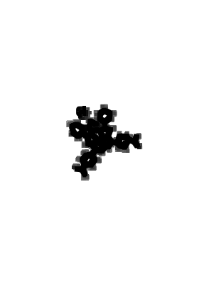 CC(C)c1ccc(-c2cccc3c2C=C(C2CCCCC2)[CH]3[Hf+2]2([CH]3C(C4CCCCC4)=Cc4c(-c5ccc(C(C)C)cc5)cccc43)[CH2]C[CH2]2)cc1.[Cl-].[Cl-]